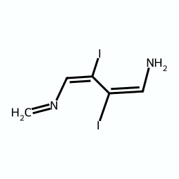 C=N/C=C(I)\C(I)=C/N